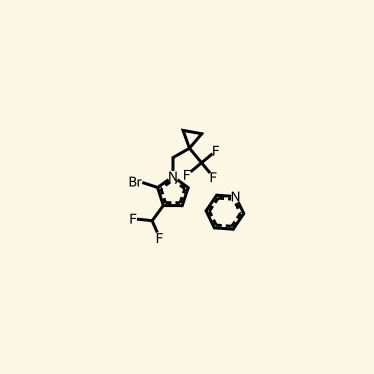 FC(F)c1ccn(CC2(C(F)(F)F)CC2)c1Br.c1ccncc1